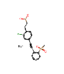 CS(=O)(=O)c1ccccc1C#Cc1ccc(CCS(=O)[O-])c(F)c1.[Na+]